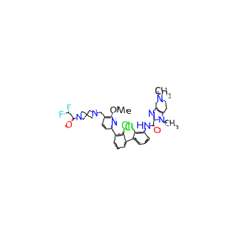 COc1nc(-c2cccc(-c3cccc(NC(=O)c4nc5c(n4C)CCN(C)C5)c3Cl)c2Cl)ccc1CN1CC2(C1)CN(C(=O)C(F)F)C2